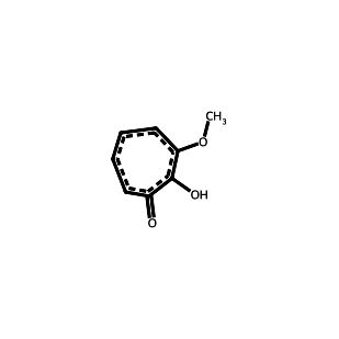 COc1ccccc(=O)c1O